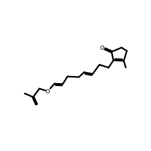 C=C(C)CO/C=C/CC/C=C/CCC1=C(C)CCC1=O